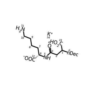 CCCCCCCCCCC(CC(=O)N[C@@H](CCCCN)C(=O)[O-])C(=O)O.[K+]